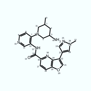 CC1CC(N)CN(c2ccncc2NC(=O)c2ccc3occ(-c4cnn(C)c4)c3n2)C1